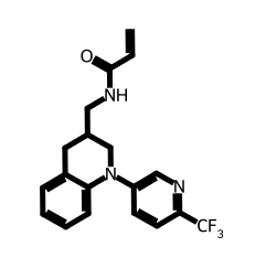 C=CC(=O)NCC1Cc2ccccc2N(c2ccc(C(F)(F)F)nc2)C1